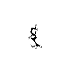 O=C(O)c1cc2nc(F)ccc2[nH]1